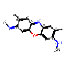 CCCNc1cc2oc3c/c(=N/CC)c(C)cc-3nc2cc1C